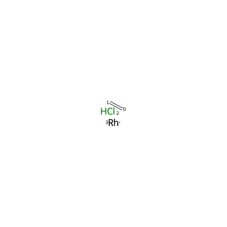 C=C.Cl.[Rh]